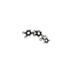 O=C(Nc1cnc2sc(-c3ccc(F)c(F)c3)nc2c1)N1CCCC1